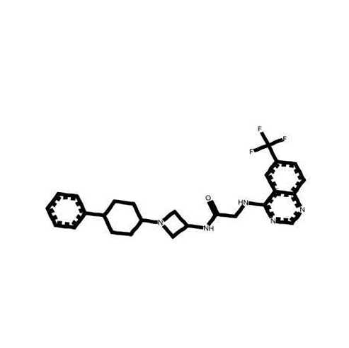 O=C(CNc1ncnc2ccc(C(F)(F)F)cc12)NC1CN(C2CCC(c3ccccc3)CC2)C1